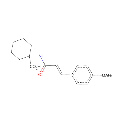 COc1ccc(C=CC(=O)NC2(C(=O)O)CCCCC2)cc1